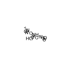 Cl.O=C(Nc1ccc(-c2noc(C3CC3)n2)cc1)c1cccc(CN2CCS(=O)(=O)CC2)c1